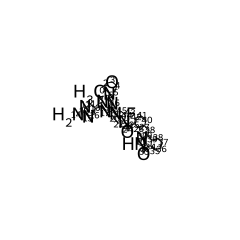 C[C@H]1COCCN1c1nc(-c2cnc(N)nc2)nc(N2CCN(C(=O)c3cc(Cc4n[nH]c(=O)c5ccccc45)ccc3F)CC2)n1